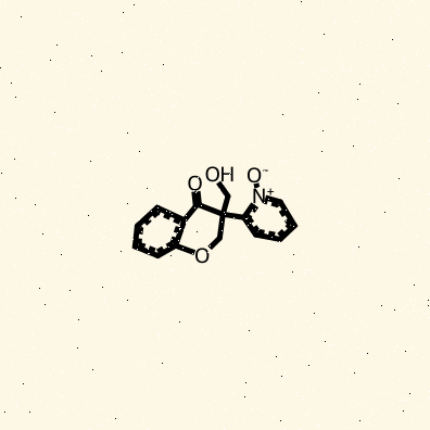 O=C1c2ccccc2OCC1(CO)c1cccc[n+]1[O-]